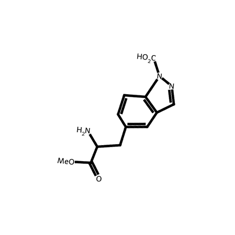 COC(=O)C(N)Cc1ccc2c(cnn2C(=O)O)c1